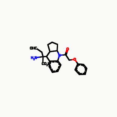 NC(CC=O)(C(=O)O)C1c2ccccc2N(C(=O)COc2ccccc2)C2CCCC21